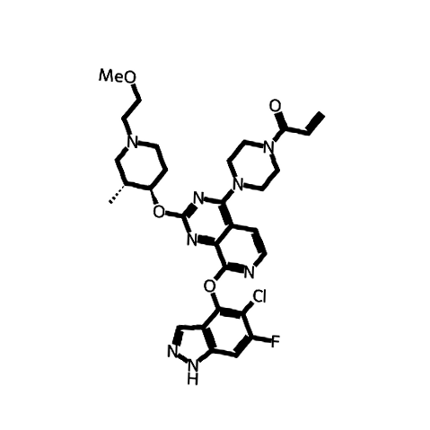 C=CC(=O)N1CCN(c2nc(O[C@@H]3CCN(CCOC)C[C@H]3C)nc3c(Oc4c(Cl)c(F)cc5[nH]ncc45)nccc23)CC1